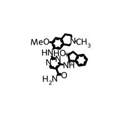 COc1cc2c(cc1Nc1ncc(C(N)=O)c(N[C@@H]3c4ccccc4C[C@H]3O)n1)CN(C)CC2